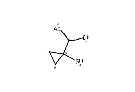 CCC(C(C)=O)C1(S)CC1